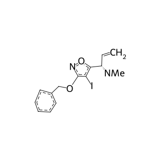 C=C[C@H](NC)c1onc(OCc2ccccc2)c1I